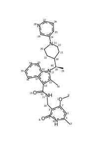 COc1cc(C)[nH]c(=O)c1CNC(=O)c1c(C)n([C@H](C)C2CCN(c3cccnc3)CC2)c2ccccc12